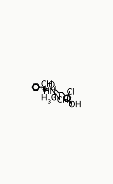 CN(C)C(CNC(=O)[C@@H]1C[C@]1(C)c1ccccc1)Cc1ccc(O)cc1Cl